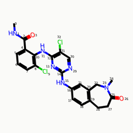 CNC(=O)c1cccc(Cl)c1Nc1nc(Nc2ccc3c(c2)CN(C)C(=O)CC3)ncc1Cl